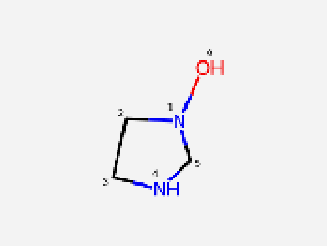 ON1CCNC1